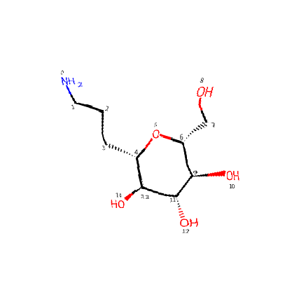 NCCC[C@@H]1O[C@H](CO)[C@@H](O)[C@H](O)[C@H]1O